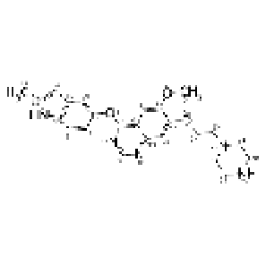 COc1cc2c(Oc3ccc4[nH]c(C)cc4c3)ncnc2cc1OCCN1CCNCC1